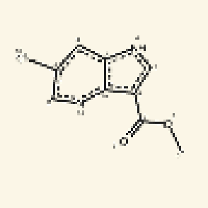 COC(=O)c1c[nH]c2cc(Cl)cnc12